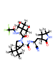 [2H]C([2H])([2H])C1(C([2H])([2H])[2H])[C@@H]2[C@@H](C(=O)N[C@H](C#N)C[C@@]3([2H])C(=O)NC([2H])([2H])C3([2H])[2H])N(C(=O)[C@@H](NC(=O)C(F)(F)F)C(C([2H])([2H])[2H])(C([2H])([2H])[2H])C([2H])([2H])[2H])C[C@@H]21